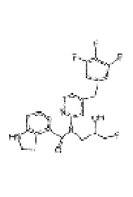 O=C(c1cccc2c1CCN2)N(CC(O)CF)c1cc(Cc2cc(F)c(F)c(F)c2)ccn1